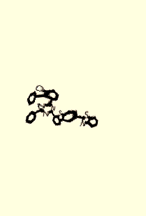 c1ccc(-c2nc(-c3cccc4c3sc3ccc(-c5nc6ccccc6s5)cc34)nc(-c3cccc4oc5ccccc5c34)n2)cc1